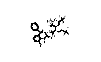 C[C@@H](C[C@H](C(N)=O)[C@@H](CCC(F)(F)F)C(=O)N[C@H]1N=C(c2ccccc2)c2cccc(F)c2NC1=O)C(F)(F)F